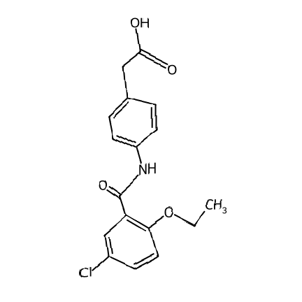 CCOc1ccc(Cl)cc1C(=O)Nc1ccc(CC(=O)O)cc1